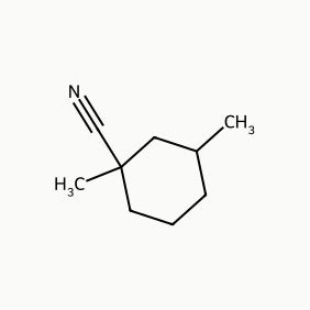 CC1CCCC(C)(C#N)C1